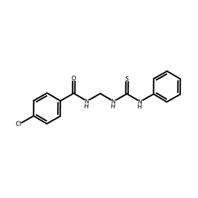 O=C(NCNC(=S)Nc1ccccc1)c1ccc(Cl)cc1